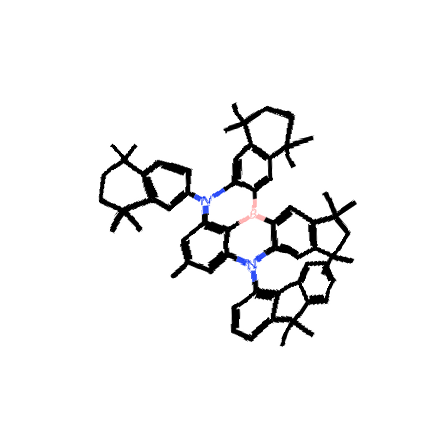 Cc1cc2c3c(c1)N(c1cccc4c1-c1ccccc1C4(C)C)c1cc4c(cc1B3c1cc3c(cc1N2c1ccc2c(c1)C(C)(C)CCC2(C)C)C(C)(C)CCC3(C)C)C(C)(C)CC4(C)C